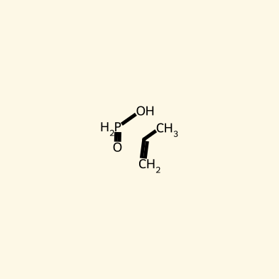 C=CC.O=[PH2]O